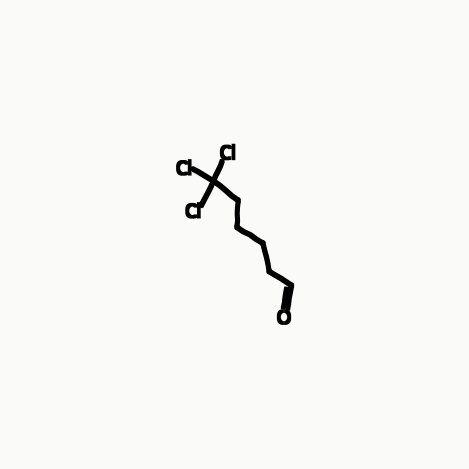 O=CCCCCC(Cl)(Cl)Cl